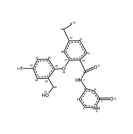 O=C(Nc1cc[nH]c(=O)c1)c1ccc(CF)cc1Oc1ccc(F)cc1CO